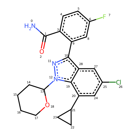 NC(=O)c1ccc(F)cc1-c1nn(C2CCCCO2)c2c(C3CC3)cc(Cl)cc12